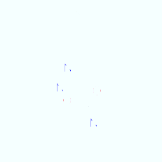 O=C(On1ccc(-c2ccsc2)n1)N1CCCCC1